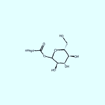 CCCCCCCC(=O)OC1O[C@H](CO)[C@@H](O)[C@H](O)[C@H]1O